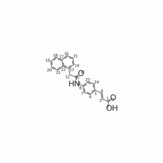 O=C(O)C=Cc1ccc(NC(=O)Cc2cccc3ccccc23)cc1